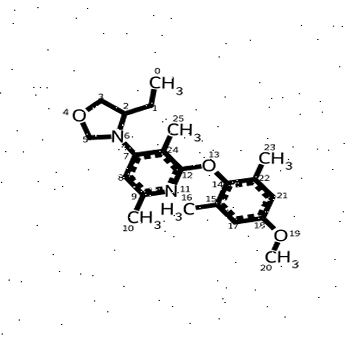 CCC1COCN1c1cc(C)nc(Oc2c(C)cc(OC)cc2C)c1C